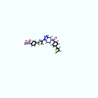 CS(=O)(=O)Nc1ccc(-c2nc(-c3nnc4n3CCN(C(=O)c3ccc(-c5cccs5)cc3)C4)cs2)cc1